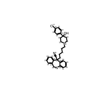 N#CC1(CCCCCN2CCC(O)(c3ccc(Cl)cc3)CC2)c2ccccc2CSc2ccccc21